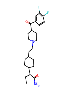 CCC(C(N)=O)C1CCC(CCN2CCC(C(=O)c3ccc(F)c(F)c3)CC2)CC1